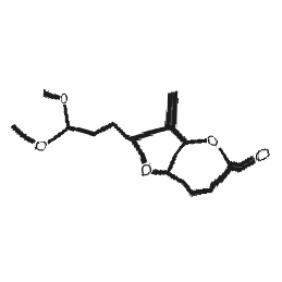 C=C1C(CCC(OC)OC)OC2CCC(=O)OC12